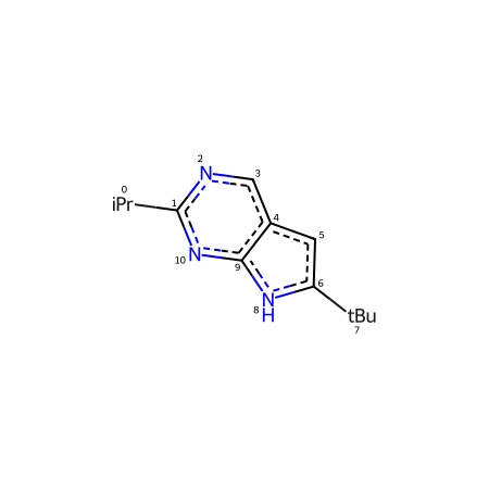 CC(C)c1ncc2cc(C(C)(C)C)[nH]c2n1